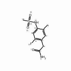 Cc1cc(CC(N)=O)c(F)cc1NS(C)(=O)=O